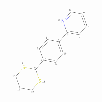 c1ccc(-c2ccc(C3SCCCS3)cc2)nc1